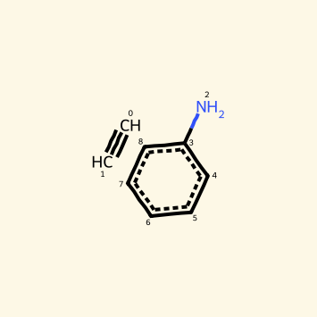 C#C.Nc1ccccc1